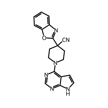 N#CC1(c2nc3ccccc3o2)CCN(c2ncnc3[nH]ccc23)CC1